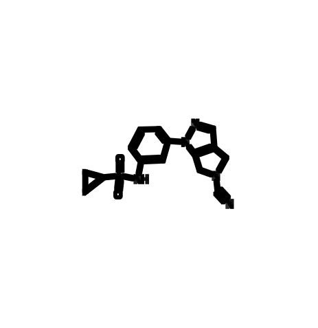 N#CN1Cc2cnn(-c3cccc(NS(=O)(=O)C4CC4)c3)c2C1